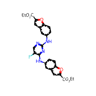 CCOC(=O)c1cc2cc(Nc3ncc(F)c(Nc4ccc5oc(C(=O)OCC)cc5c4)n3)ccc2o1